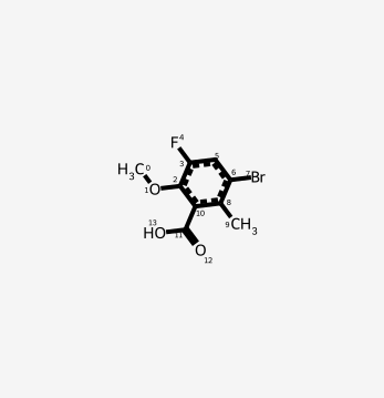 COc1c(F)cc(Br)c(C)c1C(=O)O